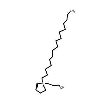 CCCCCCCCCCCCCCCC[N+]1(CCCO)C=NCC1